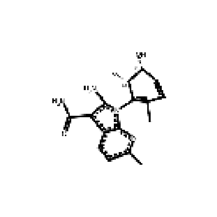 CC1=C(n2c(N)c(C(N)=O)c3ccc(C)nc32)[C@H](C)[C@H](O)C=C1